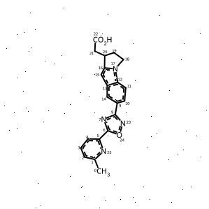 Cc1cccc(-c2nc(-c3ccc4c(c3)cc3n4CCC3CC(=O)O)no2)n1